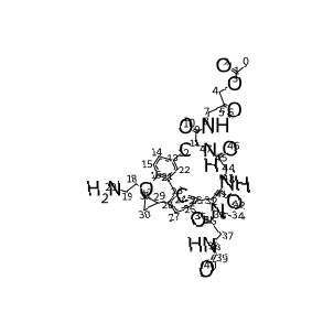 CC(=O)OCC(=O)CNC(=O)C1Cc2ccc(OCCN)c(c2)-c2cc(ccc2C2CC2)C(N(C)C(=O)CNC=O)C(=O)NCC(=O)N1